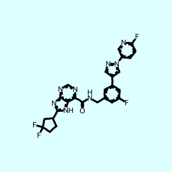 O=C(NCc1cc(F)cc(-c2cnn(-c3ccc(F)nc3)c2)c1)c1ncnc2nc(C3CCC(F)(F)C3)[nH]c12